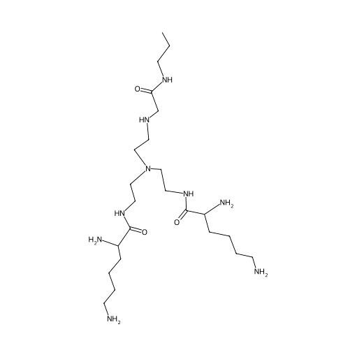 CCCNC(=O)CNCCN(CCNC(=O)C(N)CCCCN)CCNC(=O)C(N)CCCCN